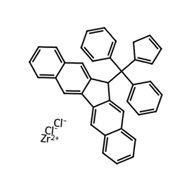 C1=CCC(C(c2ccccc2)(c2ccccc2)C2c3cc4ccccc4cc3-c3cc4ccccc4cc32)=C1.[Cl-].[Cl-].[Zr+2]